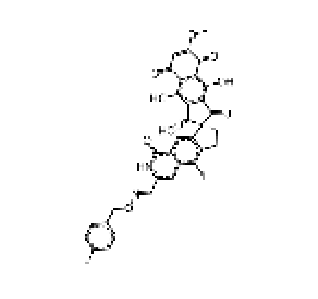 COC1=CC(=O)c2c(O)c3c(c(O)c2C1=O)C(=O)[C@]1(CCc2c1c(O)c1c(=O)[nH]c(C=NOCc4ccc(F)cc4)cc1c2I)C3=O